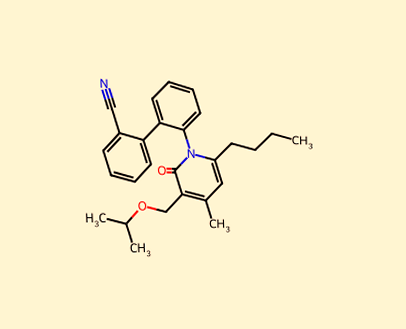 CCCCc1cc(C)c(COC(C)C)c(=O)n1-c1ccccc1-c1ccccc1C#N